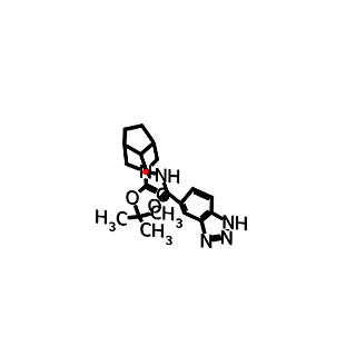 CC(C)(C)OC(=O)N1CC2CCC(C1)C2CNC(=O)c1ccc2[nH]nnc2c1